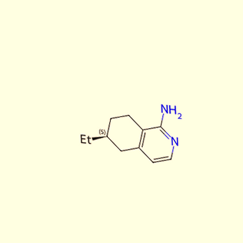 CC[C@H]1CCc2c(ccnc2N)C1